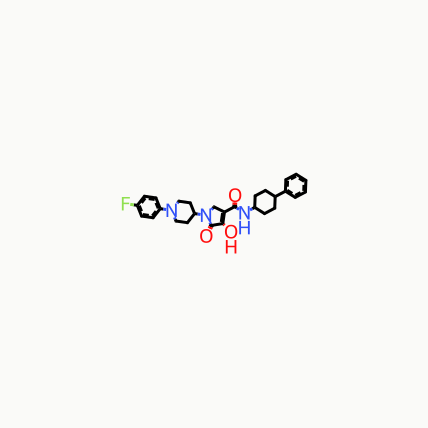 O=C(NC1CCC(c2ccccc2)CC1)C1=C(O)C(=O)N(C2CCN(c3ccc(F)cc3)CC2)C1